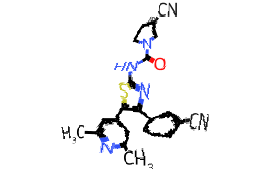 Cc1cc(-c2sc(NC(=O)N3CC[C@@H](C#N)C3)nc2-c2cccc(C#N)c2)cc(C)n1